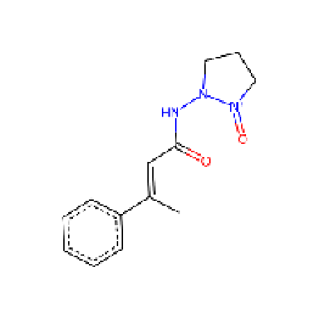 CC(=CC(=O)NN1CCC[N+]1=O)c1ccccc1